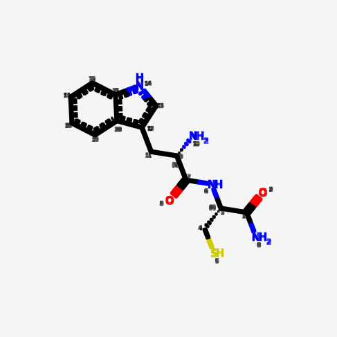 NC(=O)[C@H](CS)NC(=O)[C@@H](N)Cc1c[nH]c2ccccc12